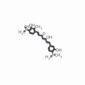 Cc1c(/C=C/C(=O)/C=C(O)/C=C/c2ccc(N(C)C)c(O)c2)ccc(N(C)C)c1O